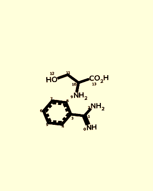 N=C(N)c1ccccc1.NC(CO)C(=O)O